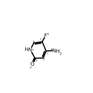 Nc1cc(=O)[nH]cc1F